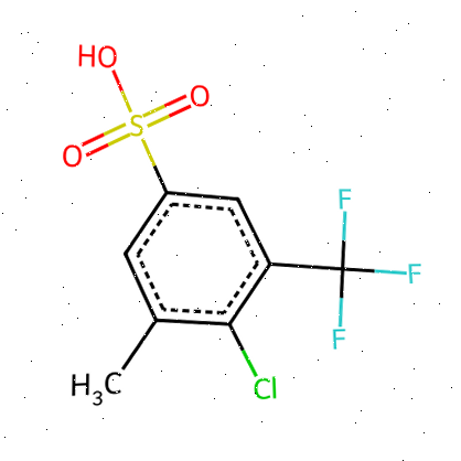 Cc1cc(S(=O)(=O)O)cc(C(F)(F)F)c1Cl